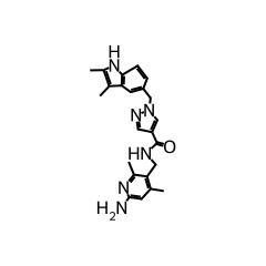 Cc1cc(N)nc(C)c1CNC(=O)c1cnn(Cc2ccc3[nH]c(C)c(C)c3c2)c1